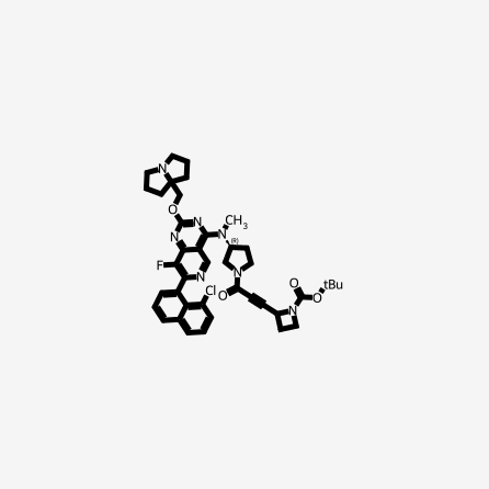 CN(c1nc(OCC23CCCN2CCC3)nc2c(F)c(-c3cccc4cccc(Cl)c34)ncc12)[C@@H]1CCN(C(=O)C#CC2CCN2C(=O)OC(C)(C)C)C1